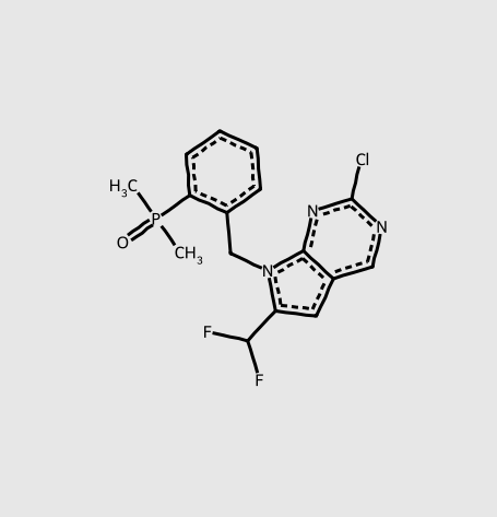 CP(C)(=O)c1ccccc1Cn1c(C(F)F)cc2cnc(Cl)nc21